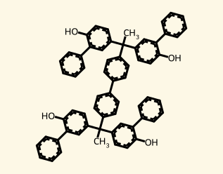 CC(c1ccc(-c2ccc(C(C)(c3ccc(O)c(-c4ccccc4)c3)c3ccc(O)c(-c4ccccc4)c3)cc2)cc1)(c1ccc(O)c(-c2ccccc2)c1)c1ccc(O)c(-c2ccccc2)c1